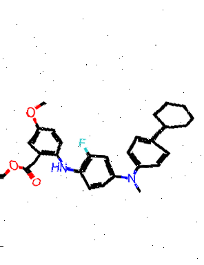 COC(=O)c1cc(OC)ccc1Nc1ccc(N(C)c2ccc(C3CCCCC3)cc2)cc1F